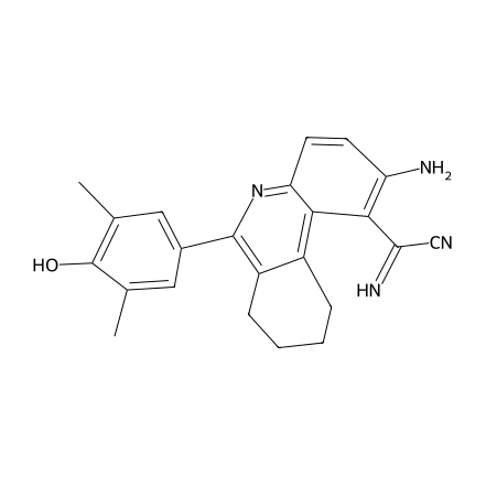 Cc1cc(-c2nc3ccc(N)c(C(=N)C#N)c3c3c2CCCC3)cc(C)c1O